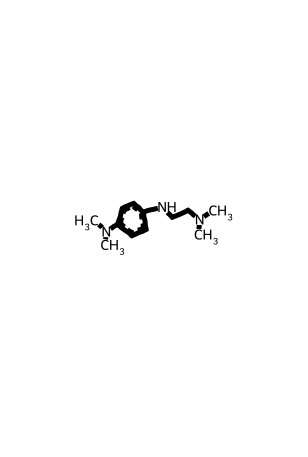 CN(C)CCNc1ccc(N(C)C)cc1